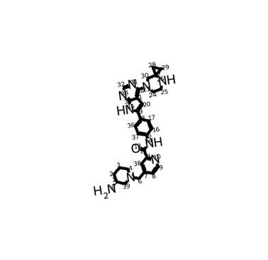 N[C@@H]1CCCN(Cc2ccnc(C(=O)Nc3ccc(-c4cc5c(N6CCNC7(CC7)C6)ncnc5[nH]4)cc3)c2)C1